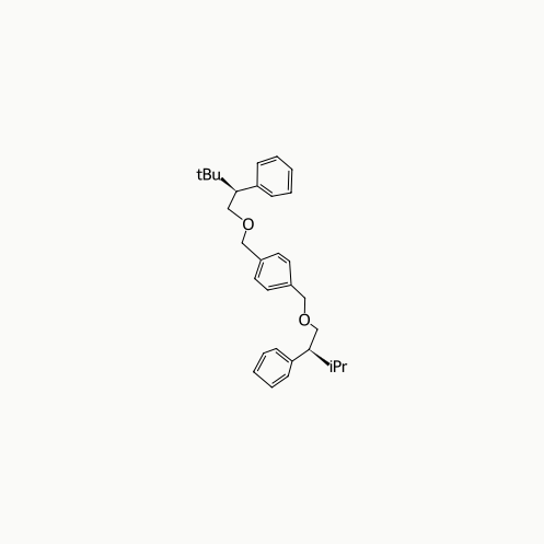 CC(C)[C@H](COCc1ccc(COC[C@H](c2ccccc2)C(C)(C)C)cc1)c1ccccc1